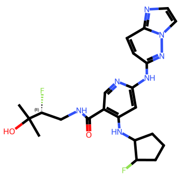 CC(C)(O)[C@H](F)CNC(=O)c1cnc(Nc2ccc3nccn3n2)cc1NC1CCCC1F